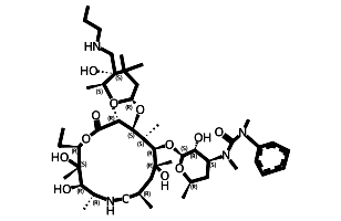 CCCNC[C@]1(O)[C@H](C)O[C@@H](O[C@H]2[C@H](C)[C@@H](O[C@@H]3O[C@H](C)C[C@H](N(C)C(=O)N(C)c4ccccc4)[C@H]3O)[C@](C)(O)C[C@@H](C)CN[C@H](C)[C@@H](O)[C@](C)(O)[C@@H](CC)OC(=O)[C@@H]2C)CC1(C)C